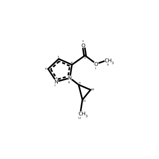 COC(=O)c1ccnn1C1CC1C